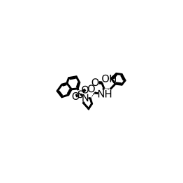 O=C(O)[C@H](Cc1ccccc1)NC(=O)[C@@H]1CCCN1S(=O)(=O)c1cccc2ccccc12